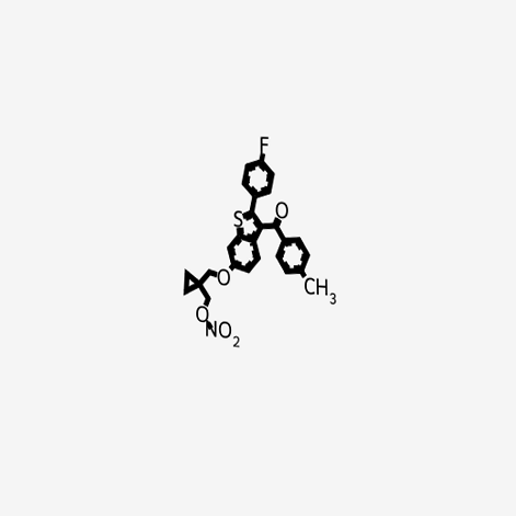 Cc1ccc(C(=O)c2c(-c3ccc(F)cc3)sc3cc(OCC4(CO[N+](=O)[O-])CC4)ccc23)cc1